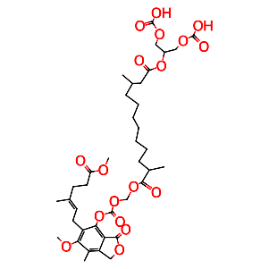 COC(=O)CC/C(C)=C/Cc1c(OC)c(C)c2c(c1OC(=O)OCOC(=O)C(C)CCCCCCCC(C)CC(=O)OC(COC(=O)O)COC(=O)O)C(=O)OC2